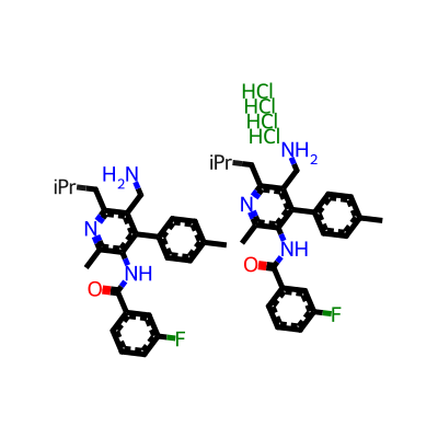 Cc1ccc(-c2c(CN)c(CC(C)C)nc(C)c2NC(=O)c2cccc(F)c2)cc1.Cc1ccc(-c2c(CN)c(CC(C)C)nc(C)c2NC(=O)c2cccc(F)c2)cc1.Cl.Cl.Cl.Cl